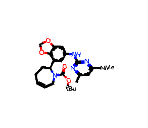 CNc1cc(C)nc(Nc2cc3c(c(C4CCC=CCN4C(=O)OC(C)(C)C)c2)OCO3)n1